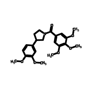 COc1ccc([C]2CCN(C(=O)c3cc(OC)c(OC)c(OC)c3)C2)cc1OC